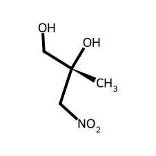 C[C@](O)(CO)C[N+](=O)[O-]